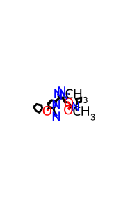 CN(C(=O)OCc1c(-c2ccc(OC3CCCCC3)c(C#N)n2)nnn1C)C1CCC1